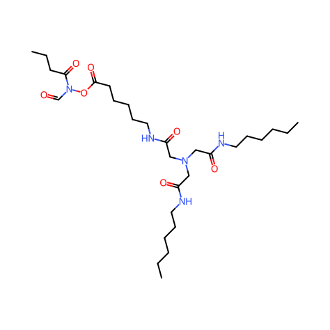 CCCCCCNC(=O)CN(CC(=O)NCCCCCC)CC(=O)NCCCCCC(=O)ON(C=O)C(=O)CCC